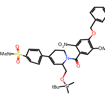 CNS(=O)(=O)c1ccc(C2=CC(CO[Si](C)(C)C(C)(C)C)N(C(=O)c3cc(OC)c(OCc4ccccc4)cc3[N+](=O)[O-])CC2)cc1